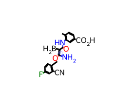 B/C(C(=O)Nc1cc(C(=O)O)ccc1C)=C(/N)OCc1ccc(F)cc1C#N